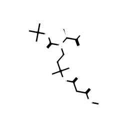 COC(=O)CC(=O)OC(C)(C)CCN(C(=O)OC(C)(C)C)[C@@H](C)C(=O)O